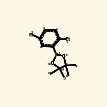 CCc1ccc(CC)c(B2OC(C)(C)C(C)(C)O2)c1